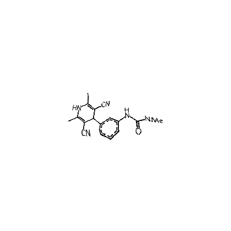 CNC(=O)Nc1cccc(C2C(C#N)=C(C)NC(C)=C2C#N)c1